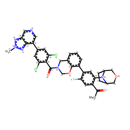 COC(=O)c1cc(F)c(-c2cccc3c2OCN(C(=O)c2c(Cl)cc(-c4cncc5nn(C)nc45)cc2Cl)C3)cc1N1C2CCC1COC2